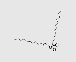 CCCCCCCCCCCCOP(=O)(Cl)CCCCCCCCCCCC